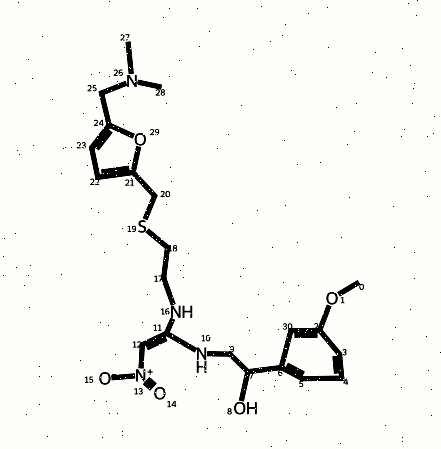 COc1cccc(C(O)CN/C(=C\[N+](=O)[O-])NCCSCc2ccc(CN(C)C)o2)c1